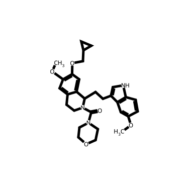 COc1ccc2[nH]cc(CCC3c4cc(OCC5CC5)c(OC)cc4CCN3C(=O)N3CCOCC3)c2c1